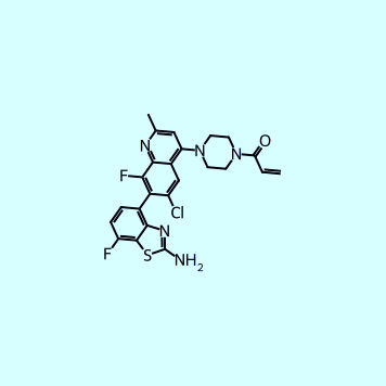 C=CC(=O)N1CCN(c2cc(C)nc3c(F)c(-c4ccc(F)c5sc(N)nc45)c(Cl)cc23)CC1